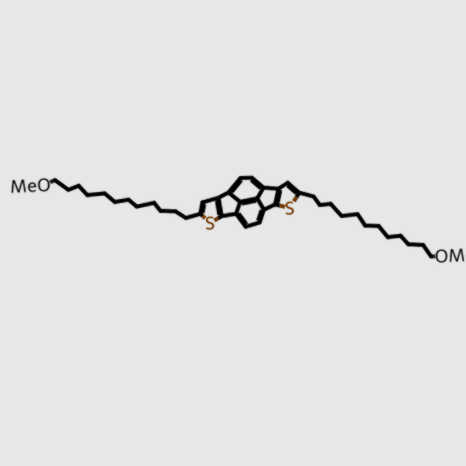 COCCCCCCCCCCCCc1cc2c(s1)-c1ccc3c4c(ccc-2c14)-c1cc(CCCCCCCCCCCCOC)sc1-3